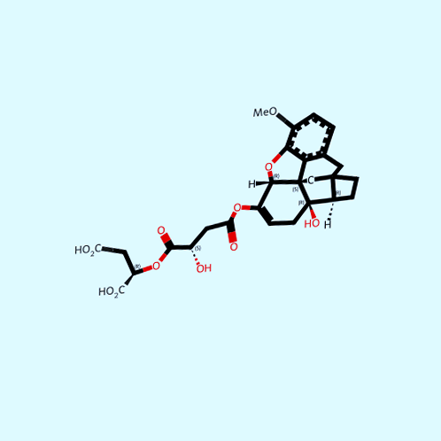 COc1ccc2c3c1O[C@H]1C(OC(=O)C[C@H](O)C(=O)O[C@H](CC(=O)O)C(=O)O)=CC[C@@]4(O)[C@@H]5CCC5(C2)C[C@]314